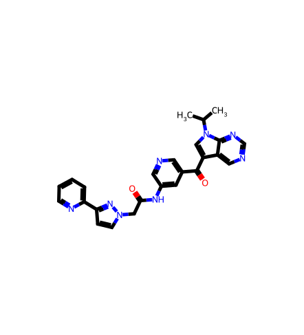 CC(C)n1cc(C(=O)c2cncc(NC(=O)Cn3ccc(-c4ccccn4)n3)c2)c2cncnc21